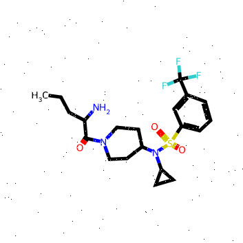 CCCC(N)C(=O)N1CCC(N(C2CC2)S(=O)(=O)c2cccc(C(F)(F)F)c2)CC1